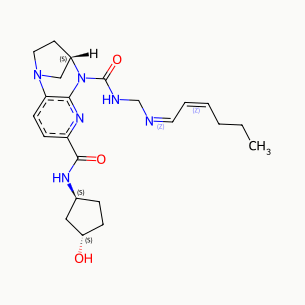 CCC/C=C\C=N/CNC(=O)N1c2nc(C(=O)N[C@H]3CC[C@H](O)C3)ccc2N2CC[C@H]1C2